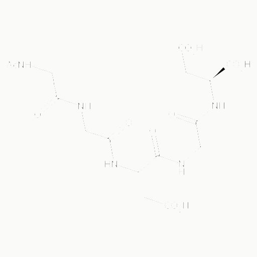 CC(=O)NCC(=O)NCC(=O)N[C@@H](CC(=O)O)C(=O)N[C@@H](C)C(=O)N[C@@H](CC(=O)O)C(=O)O